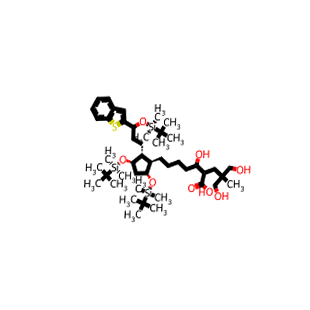 CC(CO)(CO)CC(C(=O)O)C(O)CCCC[C@@H]1[C@@H](CCC(O[Si](C)(C)C(C)(C)C)c2cc3ccccc3s2)[C@H](O[Si](C)(C)C(C)(C)C)C[C@@H]1O[Si](C)(C)C(C)(C)C